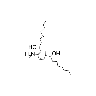 CCCCCCCC(O)c1ccc(N)c(C(O)CCCCCCC)c1